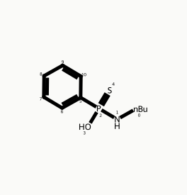 CCCCNP(O)(=S)c1ccccc1